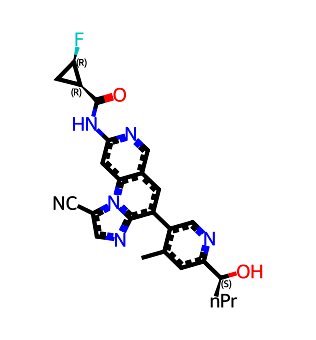 CCC[C@H](O)c1cc(C)c(-c2cc3cnc(NC(=O)[C@H]4C[C@H]4F)cc3n3c(C#N)cnc23)cn1